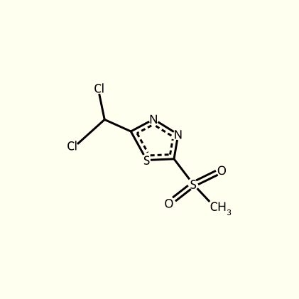 CS(=O)(=O)c1nnc(C(Cl)Cl)s1